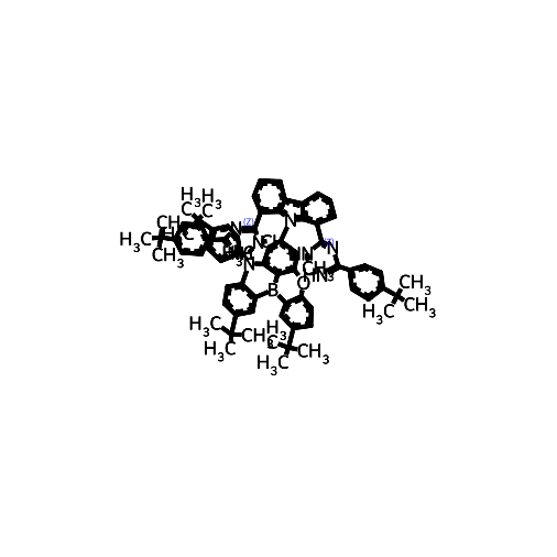 CN/C(=N\C(=N)c1ccc(C(C)(C)C)cc1)c1cccc2c3cccc(/C(=N/C(=N)c4ccc(C(C)(C)C)cc4)N(C)C)c3n(-c3cc4c5c(c3)N(c3ccc(C(C)(C)C)cc3)c3ccc(C(C)(C)C)cc3B5c3cc(C(C)(C)C)ccc3O4)c12